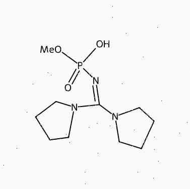 COP(=O)(O)N=C(N1CCCC1)N1CCCC1